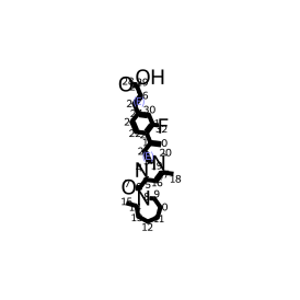 C=C(/C=C1/N=C(C(=O)N2CCCCCC2C)C=C(C)N1C)c1ccc(/C=C/C(=O)O)cc1F